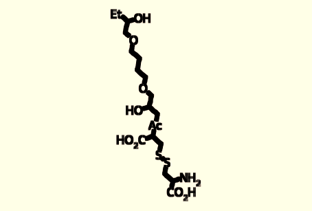 CCC(O)COCCCCOCC(O)[CH2][Ac][CH](CSSCC(N)C(=O)O)C(=O)O